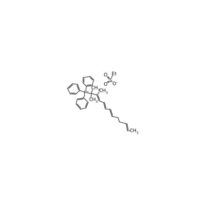 CC=CCCC=CC=CC=C(C)C(C)(C)[P+](c1ccccc1)(c1ccccc1)c1ccccc1.CCS(=O)(=O)[O-]